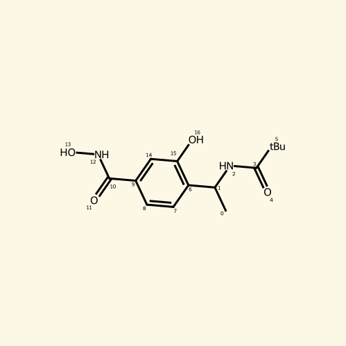 CC(NC(=O)C(C)(C)C)c1ccc(C(=O)NO)cc1O